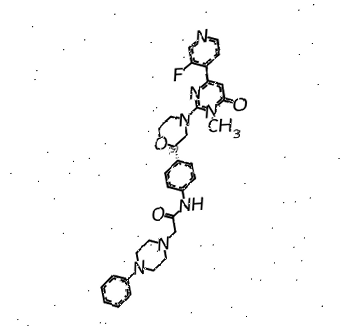 Cn1c(N2CCO[C@@H](c3ccc(NC(=O)CN4CCN(c5ccccc5)CC4)cc3)C2)nc(-c2ccncc2F)cc1=O